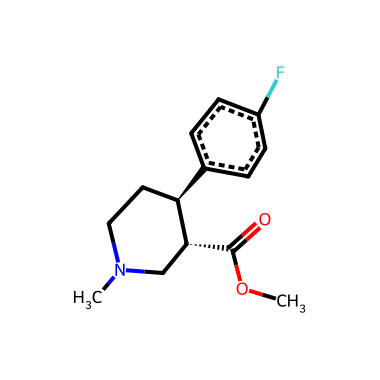 COC(=O)[C@@H]1CN(C)CC[C@H]1c1ccc(F)cc1